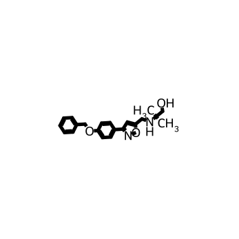 CC(C)(CO)NCc1cc(-c2ccc(OCc3ccccc3)cc2)no1